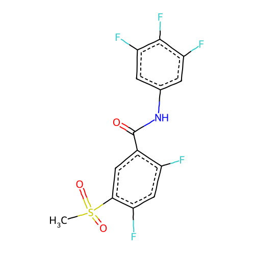 CS(=O)(=O)c1cc(C(=O)Nc2cc(F)c(F)c(F)c2)c(F)cc1F